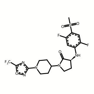 CS(=O)(=O)c1cc(F)c(N[C@H]2CCN(C3CCN(c4noc(C(F)(F)F)n4)CC3)C2=O)cc1F